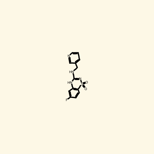 O=S1(=O)N=C(NCc2cccnc2)Nc2cc(F)ccc21